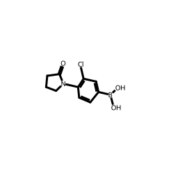 O=C1CCCN1c1ccc(B(O)O)cc1Cl